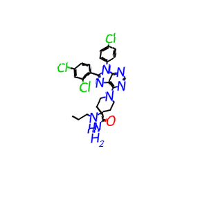 CCCNC1(C(N)=O)CCN(c2ncnc3c2nc(-c2ccc(Cl)cc2Cl)n3-c2ccc(Cl)cc2)CC1